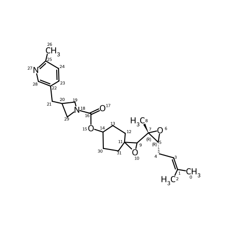 CC(C)=CC[C@H]1O[C@@]1(C)C1OC12CCC(OC(=O)N1CC(Cc3ccc(C)nc3)C1)CC2